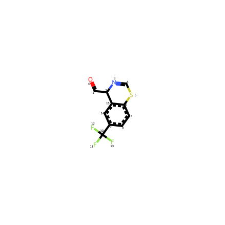 O=CC1N=CSc2ccc(C(F)(F)F)cc21